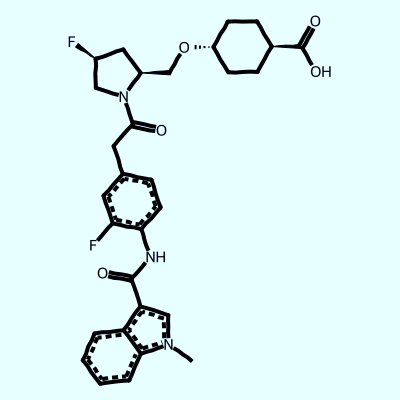 Cn1cc(C(=O)Nc2ccc(CC(=O)N3C[C@@H](F)C[C@H]3CO[C@H]3CC[C@H](C(=O)O)CC3)cc2F)c2ccccc21